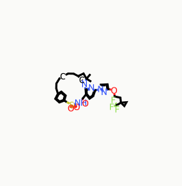 CC1(C)CC2CCCCCCc3ccc(cc3)S(=O)(=O)NC(=O)c3ccc(-n4ccc(OCCC5(C(F)(F)F)CC5)n4)nc3N1C2